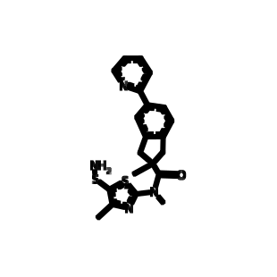 Cc1nc(N(C)C(=O)C2(C)Cc3ccc(-c4ccccn4)cc3C2)sc1SN